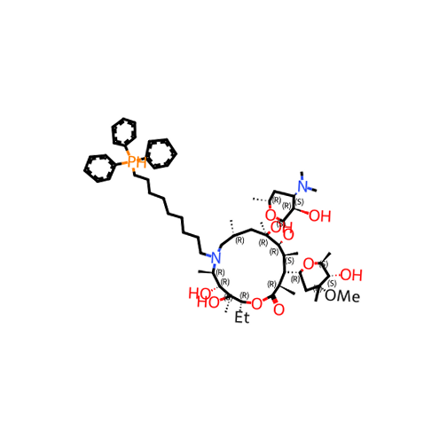 CC[C@H]1OC(=O)[C@H](C)C([C@H]2C[C@@](C)(OC)[C@@H](O)[C@H](C)O2)[C@H](C)[C@@H](O[C@@H]2O[C@H](C)C[C@H](N(C)C)[C@H]2O)[C@](C)(O)C[C@@H](C)CN(CCCCCCCCC[PH](c2ccccc2)(c2ccccc2)c2ccccc2)[C@H](C)[C@@H](O)[C@]1(C)O